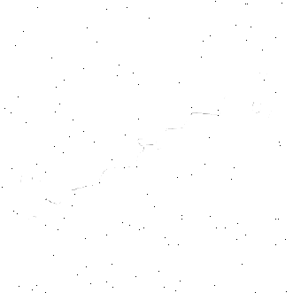 OC(O)CCCCCSSCCCCCC(O)O